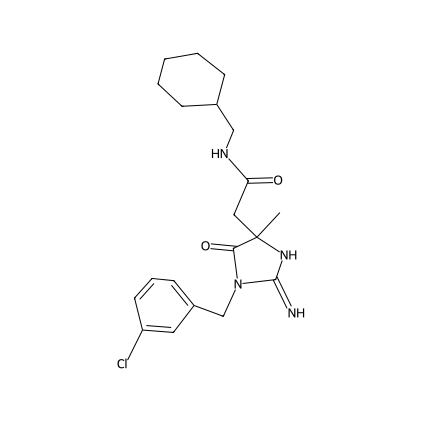 CC1(CC(=O)NCC2CCCCC2)NC(=N)N(Cc2cccc(Cl)c2)C1=O